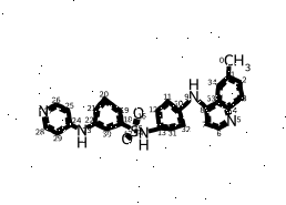 Cc1ccc2nccc(Nc3ccc(NS(=O)(=O)c4cccc(Nc5ccncc5)c4)cc3)c2c1